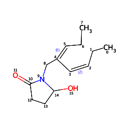 CC/C=C\C(=C/CC)CN1C(=O)CCC1O